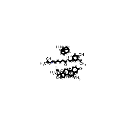 CC(=O)O[C@]1(C(C)=O)CC[C@H]2[C@@H]3C=C(C)C4=CC(=O)CC[C@]4(C)[C@H]3CC[C@@]21C.COc1cc(CNC(=O)CCCC/C=C/C(C)C)ccc1O.NC12CC3CC(CC(C3)C1)C2